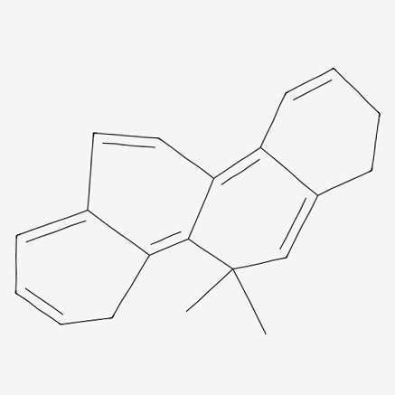 CC1(C)C=C2CCC=CC2=c2ccc3c(c21)CC=CC=3